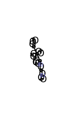 C=C(C)C(=O)O/C=C/Oc1ccc(CO/C=C/c2ccc(C#Cc3cc(OC(=O)C(=C)C)c(C#Cc4ccc(OCOC(=O)C(=C)C)cc4)c(OC(=O)C(=C)C)c3CCCF)cc2OC(=O)C(=C)C)cc1